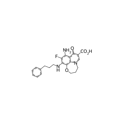 Nc1c(F)c(NCCCc2ccccc2)c2c3c1c(=O)c(C(=O)O)cn3CCCO2